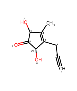 C#CCC1=C(C)C(O)C(=O)C1O